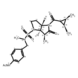 CC(=O)Nc1ccc(CN(C)S(=O)(=O)N2CC[C@H]3[C@H]2[C@H](C)C(=O)N3C(=O)C2[C@@H](C)[C@H]2C)cc1